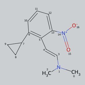 CN(C)C=Cc1c(C2CC2)cccc1[N+](=O)[O-]